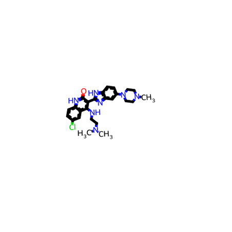 CN(C)CCNc1c(-c2nc3cc(N4CCN(C)CC4)ccc3[nH]2)c(=O)[nH]c2ccc(Cl)cc12